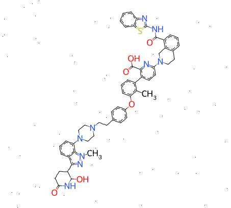 Cc1c(Oc2ccc(CCN3CCN(c4cccc5c(C6CCC(=O)NC6O)nn(C)c45)CC3)cc2)cccc1-c1ccc(N2CCc3cccc(C(=O)Nc4nc5ccccc5s4)c3C2)nc1C(=O)O